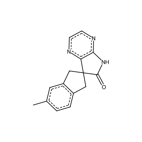 Cc1ccc2c(c1)CC1(C2)C(=O)Nc2nccnc21